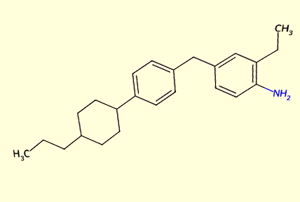 CCCC1CCC(c2ccc(Cc3ccc(N)c(CC)c3)cc2)CC1